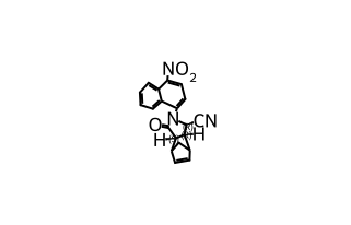 N#C[C@H]1[C@@H]2C3C=CC(C3)[C@@H]2C(=O)N1c1ccc([N+](=O)[O-])c2ccccc12